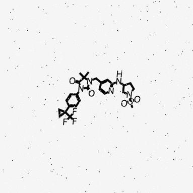 CC1(C)C(=O)N(c2ccc(C3(C(F)(F)F)CC3)cc2)C(=O)N1Cc1ccnc(NC2CCN(S(C)(=O)=O)C2)c1